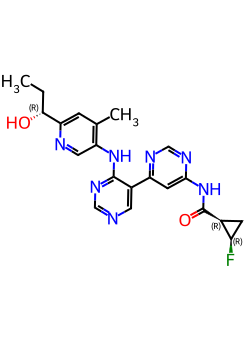 CC[C@@H](O)c1cc(C)c(Nc2ncncc2-c2cc(NC(=O)[C@H]3C[C@H]3F)ncn2)cn1